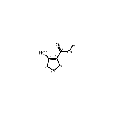 COC(=O)C1=C(O)CSC1